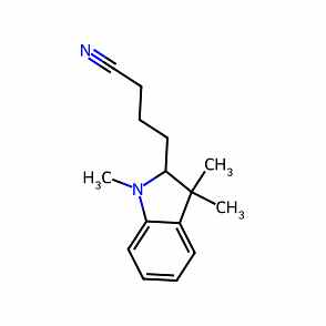 CN1c2ccccc2C(C)(C)C1CCCC#N